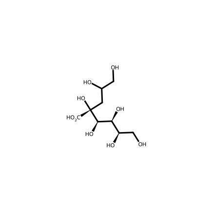 O=C(O)[C@@](O)(CC(O)CO)[C@H](O)[C@@H](O)[C@H](O)CO